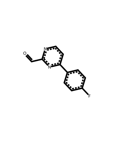 O=Cc1nccc(-c2ccc(F)cc2)n1